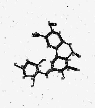 COc1cc2c(cc1OC)-c1cc(=Nc3c(C)cc(C)cc3C)n(C)c(=O)n1[C@H](C)C2